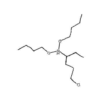 CCCCO[SiH](OCCCC)C(CC)CCCCl